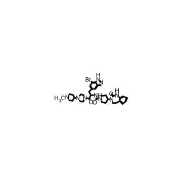 CN1CCC(N2CCN(C(=O)C(Cc3cc(Br)c4[nH]ncc4c3)NC(=O)N3CCC(N4CCc5ccccc5NC4=O)CC3)CC2)CC1